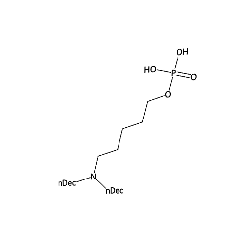 CCCCCCCCCCN(CCCCCCCCCC)CCCCCOP(=O)(O)O